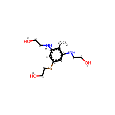 O=[N+]([O-])c1c(NCCO)cc(SCCO)cc1NCCO